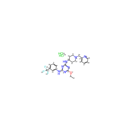 CCOc1nc(Nc2cccc(C(F)(F)F)c2)nc(NC2CCN(Cc3ccccn3)CC2)n1.Cl.Cl